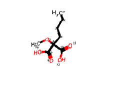 CCCCC(OC)(C(=O)O)C(=O)O